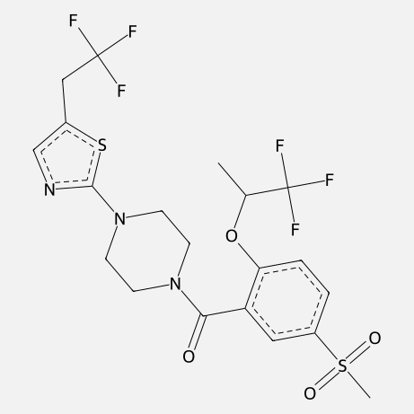 CC(Oc1ccc(S(C)(=O)=O)cc1C(=O)N1CCN(c2ncc(CC(F)(F)F)s2)CC1)C(F)(F)F